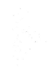 CC(=O)N1CCC(CO)(C(=O)N2CC[C@@]3(Cc4ccc(F)cc4)c4ccc(C(C)(F)C(F)(F)F)cc4CC[C@@H]23)CC1